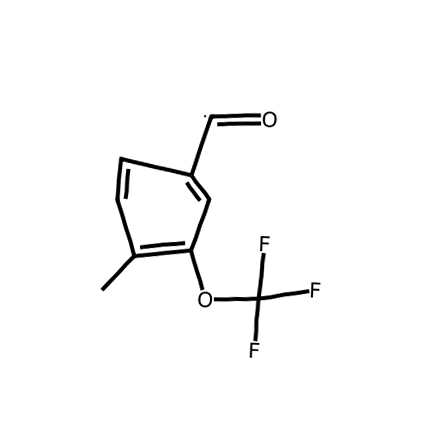 Cc1ccc([C]=O)cc1OC(F)(F)F